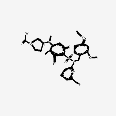 COc1ccc(CN(c2cccc(F)n2)S(=O)(=O)c2c(F)cc(N(C)[C@H]3CCN(C(=O)O)C3)c(C)c2F)c(OC)c1